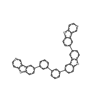 c1cc(-c2cccc(-c3ccc4oc5ccc(-c6ccc7oc8ccncc8c7c6)cc5c4c3)c2)cc(-c2ccc3oc4ccncc4c3c2)c1